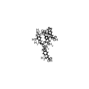 C[C@](N)(Cc1cc(S)c2nc(N)sc2c1)C(=O)O.C[C@](N)(Cc1ccc2nc(N)sc2c1)C(=O)O.C[C@](N)(Cc1ccc2nsnc2c1)C(=O)O.Nc1nc2ccc(C[C@H](N)C(=O)O)cc2s1